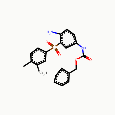 Cc1ccc(S(=O)(=O)c2cc(NC(=O)OCc3ccccc3)ccc2N)cc1S(=O)(=O)O